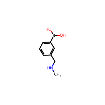 CNCc1cccc(B(O)O)c1